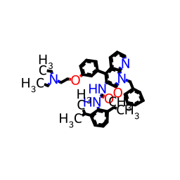 CCN(CC)CCOc1cccc(-c2c(NC(=O)Nc3c(C(C)C)cccc3C(C)C)c(=O)n(Cc3ccccc3)c3ncccc23)c1